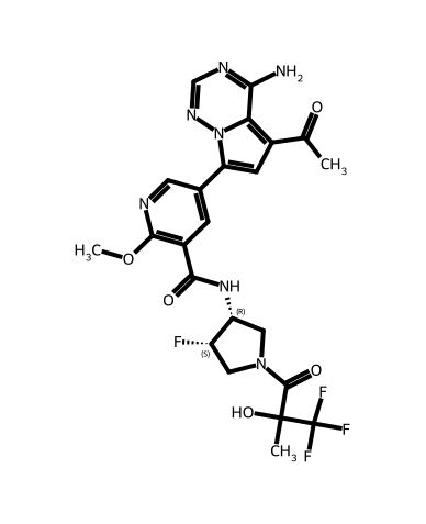 COc1ncc(-c2cc(C(C)=O)c3c(N)ncnn23)cc1C(=O)N[C@@H]1CN(C(=O)C(C)(O)C(F)(F)F)C[C@@H]1F